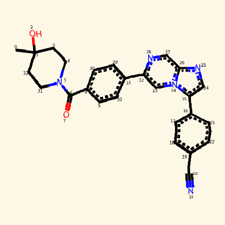 CC1(O)CCN(C(=O)c2ccc(-c3cn4c(-c5ccc(C#N)cc5)cnc4cn3)cc2)CC1